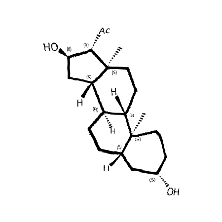 CC(=O)[C@H]1[C@H](O)C[C@H]2[C@@H]3CC[C@H]4C[C@@H](O)CC[C@]4(C)[C@H]3CC[C@@]21C